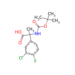 CC(C)(C)OC(=O)NC(C)(C(=O)O)c1ccc(F)c(Cl)c1